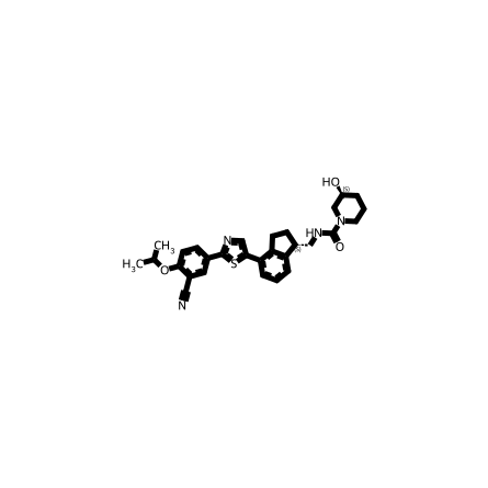 CC(C)Oc1ccc(-c2ncc(-c3cccc4c3CC[C@@H]4CNC(=O)N3CCC[C@H](O)C3)s2)cc1C#N